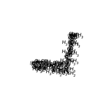 C=CCN(CC=C)c1c(C)cc(OC(=O)NC)cc1C.CCC(CC)c1cccc(OC(=O)NC)c1.CCCC(C)c1cccc(OC(=O)NC)c1.CNC(=O)Oc1cc(C(C)(C)C)cc(C(C)(C)C)c1.CNC(=O)Oc1cc(C)c(C)cc1Cl.CNC(=O)Oc1ccc(N(C)C)c(C)c1.CNC(=O)Oc1cccc(C)c1.CNC(=O)Oc1ccccc1C1OCCO1.CNC(=O)Oc1ccccc1OC(CCl)OC